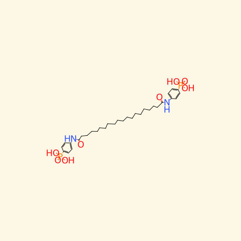 O=C(CCCCCCCCCCCCCCCCCCC(=O)Nc1ccc(P(=O)(O)O)cc1)Nc1ccc(P(=O)(O)O)cc1